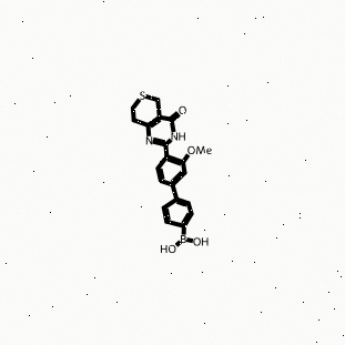 COc1cc(-c2ccc(B(O)O)cc2)ccc1-c1nc2c(c(=O)[nH]1)CSCC2